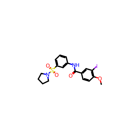 COc1ccc(C(=O)Nc2cccc(S(=O)(=O)N3CCCC3)c2)cc1I